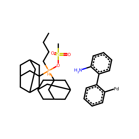 CCCC[PH](OS(C)(=O)=O)(C12CC3CC(CC(C3)C1)C2)C12CC3CC(CC(C3)C1)C2.Nc1ccccc1-c1cccc[c]1[Pd]